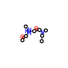 c1ccc(-c2ccc(N(c3ccccc3)c3ccc4oc5cc(-c6nc(-c7ccccc7)nc(-c7ccc8c(c7)oc7ccccc78)n6)ccc5c4c3)cc2)cc1